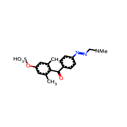 CNCN=Nc1ccc(C(=O)c2c(C)cc(OS(=O)(=O)O)cc2C)cc1